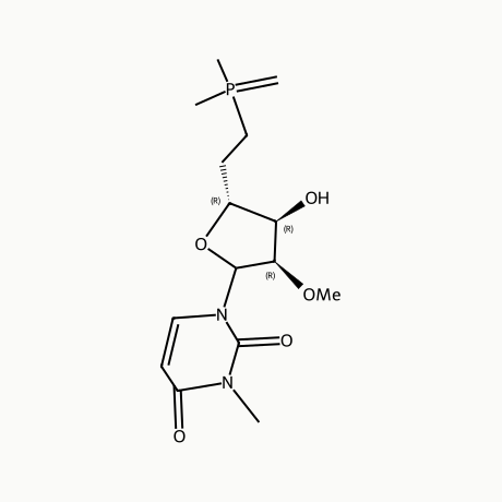 C=P(C)(C)CC[C@H]1OC(n2ccc(=O)n(C)c2=O)[C@H](OC)[C@@H]1O